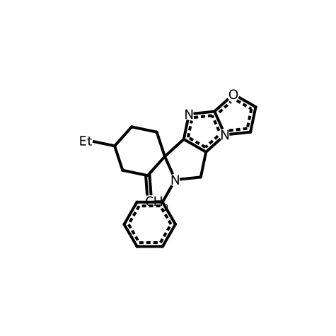 C=C1CC(CC)CCC12c1nc3occn3c1CN2c1ccccc1